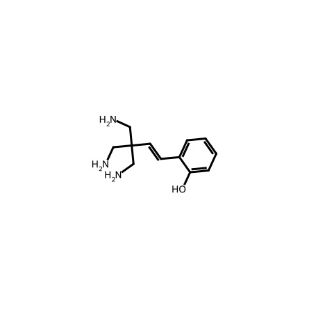 NCC(C=Cc1ccccc1O)(CN)CN